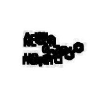 CC(=O)N[C@@H]1CCN(CCCOC2(COc3cc(OCc4cncc(C#N)c4)c(CNC(C)(CO)CO)cc3Cl)C=CC=C(c3ccccc3)C2(C)C)C1